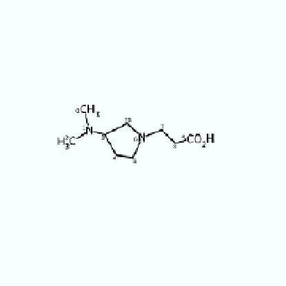 CN(C)C1CCN(CCC(=O)O)C1